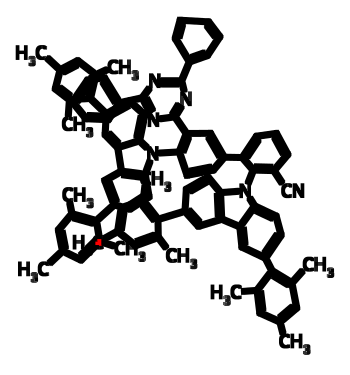 Cc1cc(C)c(-c2ccc3c(c2)c2cc(-c4c(C)cc(C)cc4C)ccc2n3-c2ccc(-c3cccc(C#N)c3-n3c4ccc(-c5c(C)cc(C)cc5C)cc4c4cc(-c5c(C)cc(C)cc5C)ccc43)cc2-c2nc(-c3ccccc3)nc(-c3ccccc3)n2)c(C)c1